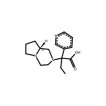 CCC(C(=O)O)(c1cccnc1)N1CCN2CCC[C@@H]2C1